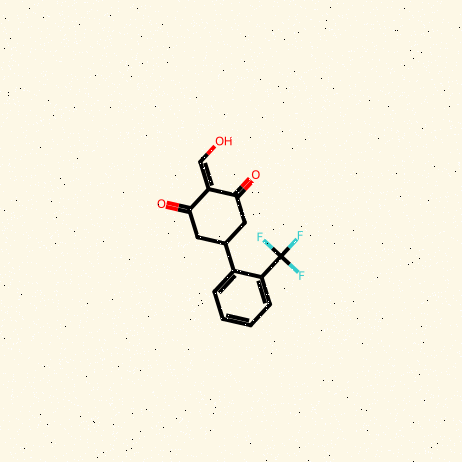 O=C1CC(c2ccccc2C(F)(F)F)CC(=O)C1=CO